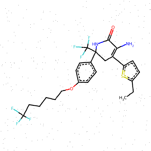 CCc1ccc(C2=C(N)C(=O)NC(c3ccc(OCCCCCC(F)(F)F)cc3)(C(F)(F)F)C2)s1